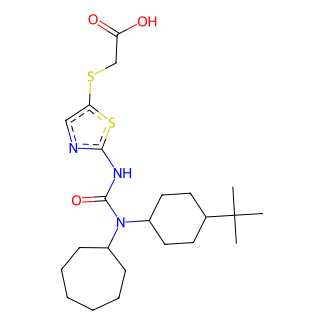 CC(C)(C)C1CCC(N(C(=O)Nc2ncc(SCC(=O)O)s2)C2CCCCCC2)CC1